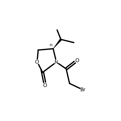 CC(C)[C@@H]1COC(=O)N1C(=O)CBr